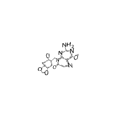 Nc1nc(Cl)c2ncc(=O)n(Cc3cc4c(cc3Cl)OCO4)c2n1